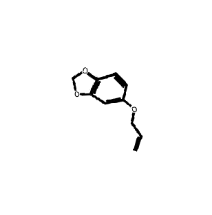 C=CCOc1ccc2c(c1)OCO2